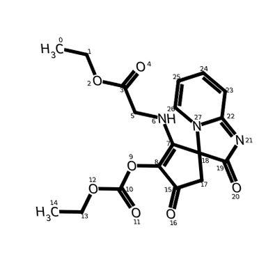 CCOC(=O)CNC1=C(OC(=O)OCC)C(=O)CC12C(=O)N=C1C=CC=CN12